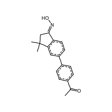 CC(=O)c1ccc(-c2ccc3c(c2)C(C)(C)CC3=NO)cc1